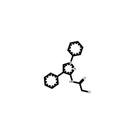 O=C(CCl)Nc1nn(-c2ccccc2)cc1-c1ccccc1